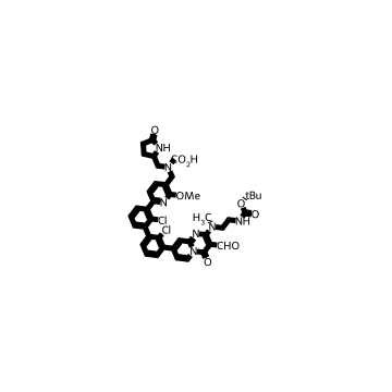 COc1nc(-c2cccc(-c3cccc(-c4ccn5c(=O)c(C=O)c(N(C)CCNC(=O)OC(C)(C)C)nc5c4)c3Cl)c2Cl)ccc1CN(CC1CCC(=O)N1)C(=O)O